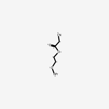 CCCOCCOC(=O)CC#N